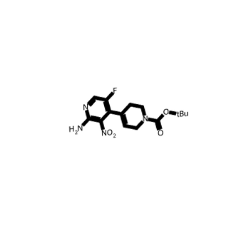 CC(C)(C)OC(=O)N1CC=C(c2c(F)cnc(N)c2[N+](=O)[O-])CC1